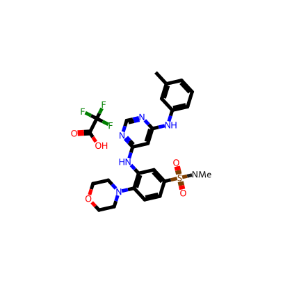 CNS(=O)(=O)c1ccc(N2CCOCC2)c(Nc2cc(Nc3cccc(C)c3)ncn2)c1.O=C(O)C(F)(F)F